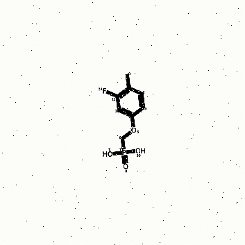 Cc1ccc(OCP(=O)(O)O)cc1F